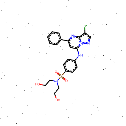 O=S(=O)(c1ccc(Nc2cc(-c3ccccc3)nc3c(Br)cnn23)cc1)N(CCO)CCO